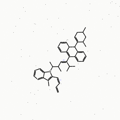 C=C/C=C\c1c(C)c2ccccc2n1C(C)C(C)/C=C(/C1=C2C=CC=CC2C(C2=CCC(C)CC2C)c2ccccc21)C(C)C